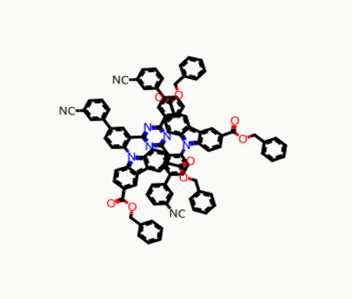 [C-]#[N+]c1cccc(-c2ccc(-n3c4ccc(C(=O)OCc5ccccc5)cc4c4cc(C(=O)OCc5ccccc5)ccc43)c(-c3nc(-c4cccc(-c5cccc(C#N)c5)c4)nc(-c4cc(-c5cccc(C#N)c5)ccc4-n4c5ccc(C(=O)OCc6ccccc6)cc5c5cc(C(=O)OCc6ccccc6)ccc54)n3)c2)c1